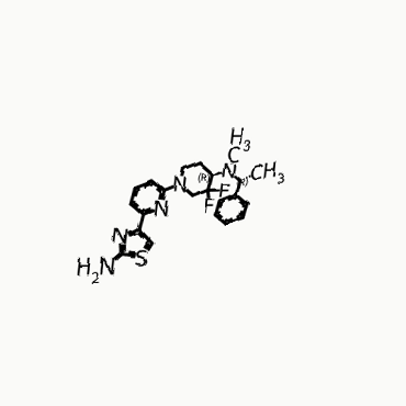 C[C@H](c1ccccc1)N(C)[C@@H]1CCN(c2cccc(-c3csc(N)n3)n2)CC1(F)F